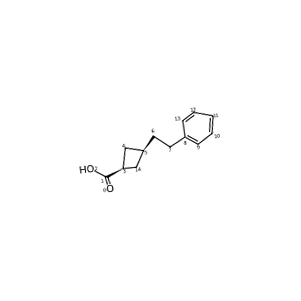 O=C(O)[C@H]1C[C@@H](CCc2ccccc2)C1